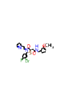 COc1cccc(CNC(=O)CC2SC(c3ccc(F)c(Br)c3)N(CCc3ccccn3)C2=O)c1